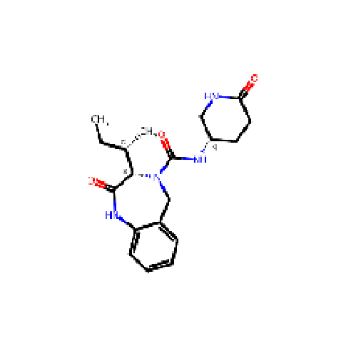 CC[C@H](C)[C@H]1C(=O)Nc2ccccc2CN1C(=O)N[C@H]1CCC(=O)NC1